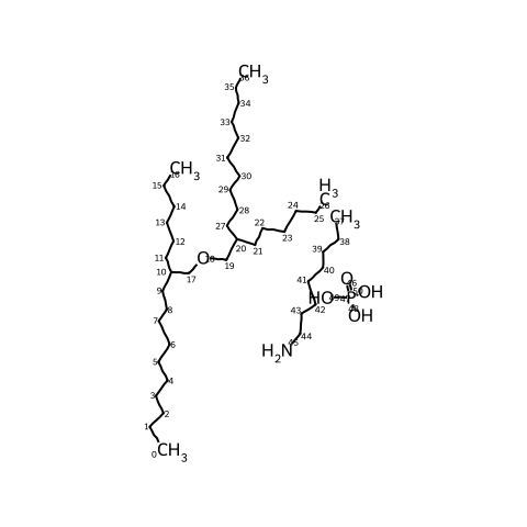 CCCCCCCCCCC(CCCCCC)COCC(CCCCCC)CCCCCCCCCC.CCCCCCCCN.O=P(O)(O)O